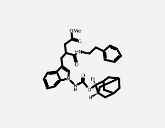 COC(=O)CC(Cc1cn(NC(=O)O[C@H]2C3CC4CC(C3)C[C@@H]2C4)c2ccccc12)C(=O)NCCc1ccccc1